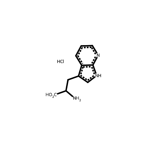 Cl.NC(Cc1c[nH]c2ncccc12)C(=O)O